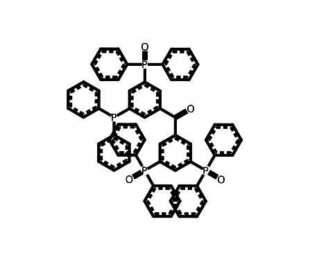 O=C(c1cc(P(c2ccccc2)c2ccccc2)cc(P(=O)(c2ccccc2)c2ccccc2)c1)c1cc(P(=O)(c2ccccc2)c2ccccc2)cc(P(=O)(c2ccccc2)c2ccccc2)c1